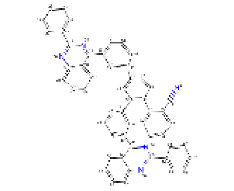 N#Cc1ccccc1-c1ccc(-c2cccc(-c3nc(-c4ccccc4)nc4ccccc34)c2)cc1-c1cccc(-c2nc(-c3ccccc3)nc3ccccc23)c1